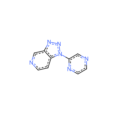 c1cnc(-n2nnc3cnccc32)cn1